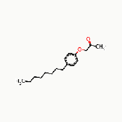 [CH2]C(=O)COc1ccc(CCCCCCCC)cc1